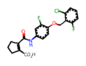 O=C(O)C1=C(C(=O)Nc2ccc(OCc3c(F)cccc3Cl)c(F)c2)CCC1